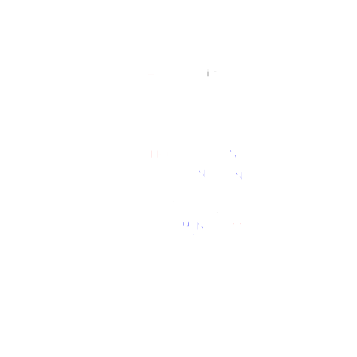 CC(C)c1cc(-c2nnc(C(N)=O)n2Cc2ccc(C(C)O)cc2)c(O)cc1O